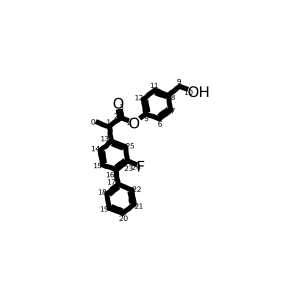 CC(C(=O)Oc1ccc(CO)cc1)c1ccc(-c2ccccc2)c(F)c1